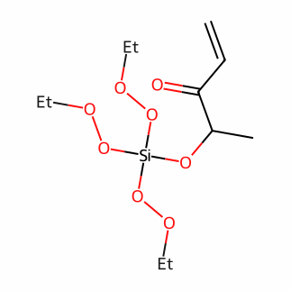 C=CC(=O)C(C)O[Si](OOCC)(OOCC)OOCC